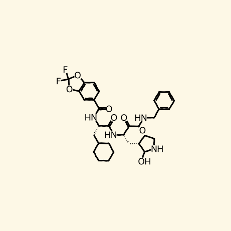 O=C(NCc1ccccc1)C(=O)[C@H](C[C@@H]1CCNC1O)NC(=O)[C@H](CC1CCCCC1)NC(=O)c1ccc2c(c1)OC(F)(F)O2